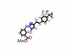 COC(=O)c1cccc(Cn2nc(C(F)=Cc3ccc(C4(C(F)(F)F)CC4)cc3)cc2C)c1